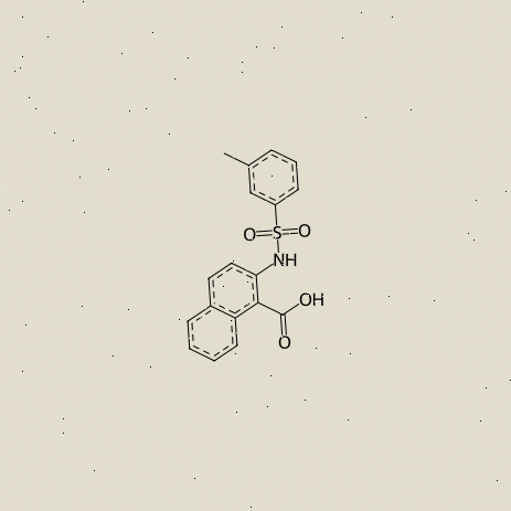 Cc1cccc(S(=O)(=O)Nc2ccc3ccccc3c2C(=O)O)c1